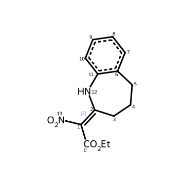 CCOC(=O)/C(=C1\CCCc2ccccc2N1)[N+](=O)[O-]